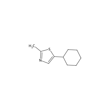 Cc1ncc(C2CCCCC2)s1